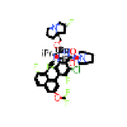 CC(C)[Si](C#Cc1c(F)ccc2cc(OC(F)F)cc(-c3c(F)c(Cl)c4c(N5CC6CCC(C5)N6C(=O)OC(C)(C)C)nc(OC[C@@]56CCCN5C[C@H](F)C6)nc4c3F)c12)(C(C)C)C(C)C